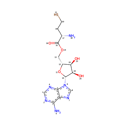 Nc1ncnc2c1ncn2[C@@H]1O[C@H](COC(=O)[C@@H](N)CCS)[C@@H](O)[C@H]1O